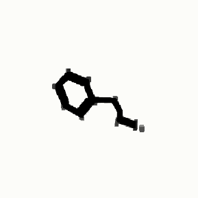 I[CH]Cc1ccccc1